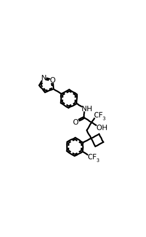 O=C(Nc1ccc(-c2ccno2)cc1)C(O)(CC1(c2ccccc2C(F)(F)F)CCC1)C(F)(F)F